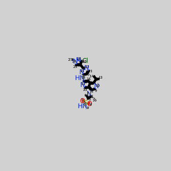 CNS(=O)(=O)[C@H]1CN(c2cnc(C(C)C)c3cc(Nc4ccnc(-c5cn(C)nc5Cl)n4)ncc23)[C@@H]1C